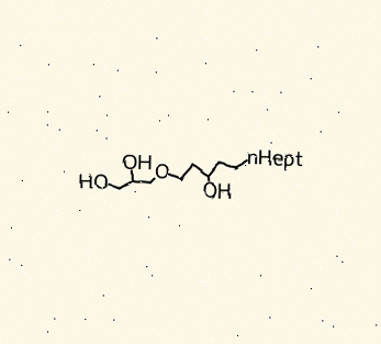 CCCCCCCCCC(O)CCOCC(O)CO